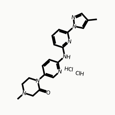 Cc1cnn(-c2cccc(Nc3ccc(N4CCN(C)CC4=O)cn3)n2)c1.Cl.Cl